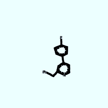 CC(C)Cc1cc(-c2ccc(F)cc2)ccn1